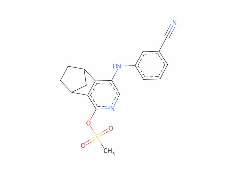 CS(=O)(=O)Oc1ncc(Nc2cccc(C#N)c2)c2c1C1CCC2C1